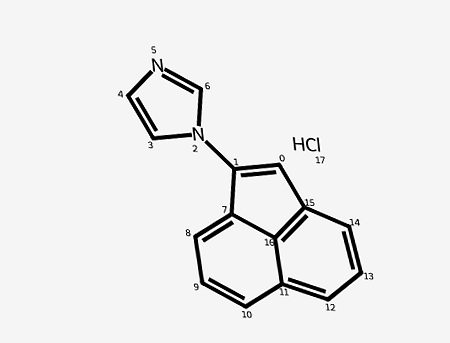 C1=C(n2ccnc2)c2cccc3cccc1c23.Cl